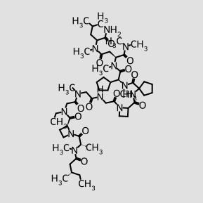 CC[C@H](C)CC(=O)N(C)[C@@H](C)C(=O)N1CC[C@H]1C(=O)N(CC)CC(=O)N(C)CC(=O)NCC(=O)N1CCC1C(=O)NC1(C(=O)N(C)[C@H](C(=O)N(C)[C@@H](CC(=O)N(C)C(CC(C)C)C(N)=O)C(=O)N(C)C)C2CCCC2)CCCC1